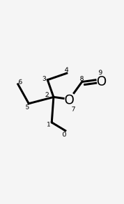 CCC(CC)(CC)OC=O